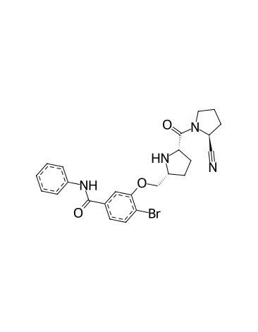 N#C[C@@H]1CCCN1C(=O)[C@@H]1CC[C@H](COc2cc(C(=O)Nc3ccccc3)ccc2Br)N1